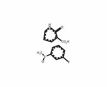 C[S+]([O-])c1cccc(F)c1.O=C(O)c1ccc[nH]c1=O